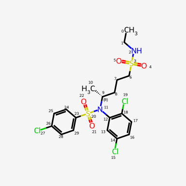 CCNS(=O)(=O)CCC[C@@H](C)N(c1cc(Cl)ccc1Cl)S(=O)(=O)c1ccc(Cl)cc1